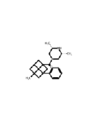 C[C@@H]1CN(C(=O)C23CC4CC5(C)CC(c6ccccc6)(C2)C453)C[C@H](C)N1